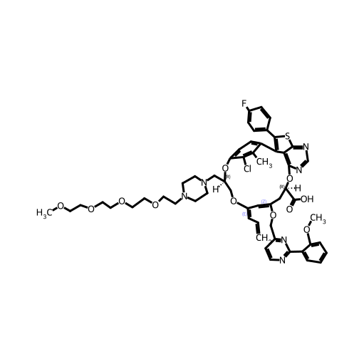 C=C/C=C1\C=C(/OCc2ccnc(-c3ccccc3OC)n2)C[C@H](C(=O)O)Oc2ncnc3sc(-c4ccc(F)cc4)c(c23)-c2ccc(c(Cl)c2C)O[C@H](CN2CCN(CCOCCOCCOCCOC)CC2)CO1